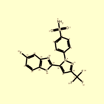 NS(=O)(=O)c1ccc(-n2nc(C(F)(F)F)cc2-c2nc3cc(F)ccc3s2)cc1